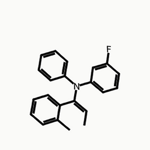 C/C=C(\c1ccccc1C)N(c1ccccc1)c1cccc(F)c1